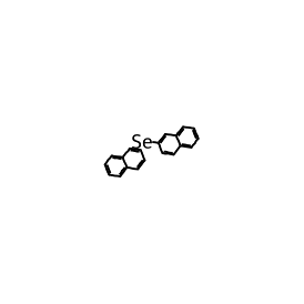 c1ccc2cc([Se]c3ccc4ccccc4c3)ccc2c1